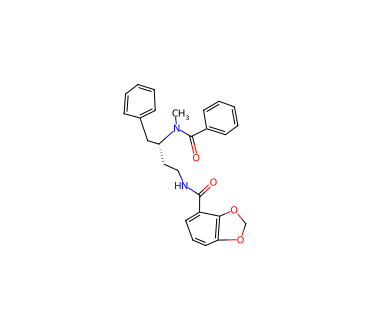 CN(C(=O)c1ccccc1)[C@H](CCNC(=O)c1cccc2c1OCO2)Cc1ccccc1